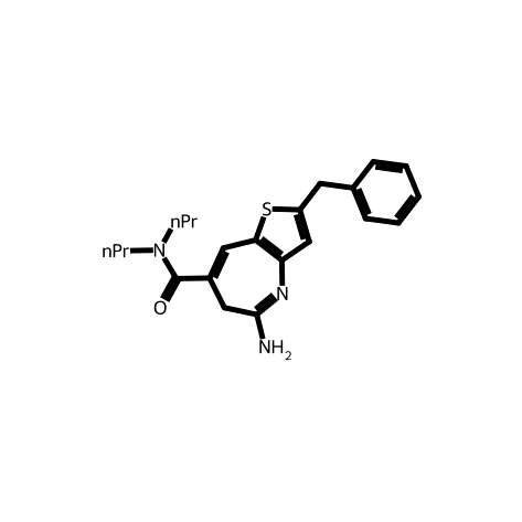 CCCN(CCC)C(=O)C1=Cc2sc(Cc3ccccc3)cc2N=C(N)C1